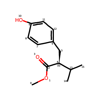 COC(=O)[C@@H](Cc1ccc(O)cc1)C(C)C